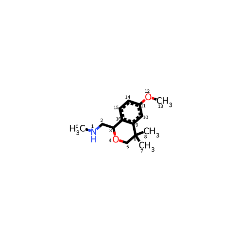 CNCC1OCC(C)(C)c2cc(OC)ccc21